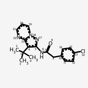 CC(C)(C)c1c(NC(=O)Cc2ccc(Cl)cc2)nn2cccnc12